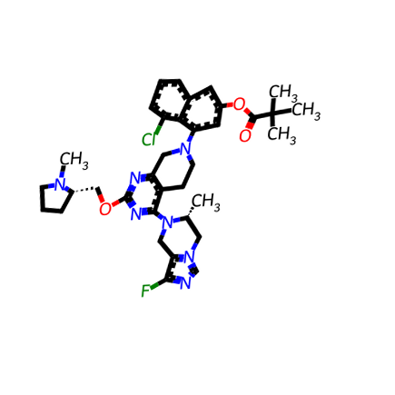 C[C@@H]1Cn2cnc(F)c2CN1c1nc(OC[C@@H]2CCCN2C)nc2c1CCN(c1cc(OC(=O)C(C)(C)C)cc3cccc(Cl)c13)C2